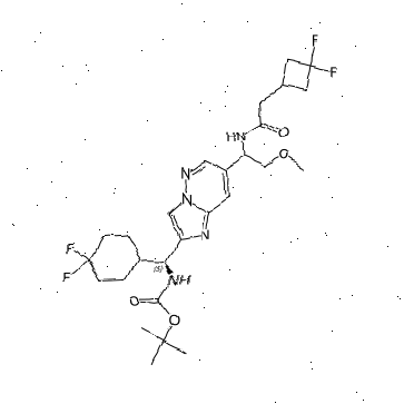 COCC(NC(=O)CC1CC(F)(F)C1)c1cnn2cc([C@@H](NC(=O)OC(C)(C)C)C3CCC(F)(F)CC3)nc2c1